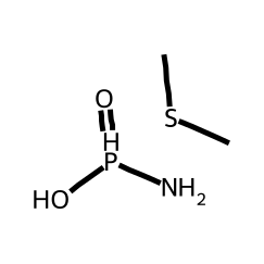 CSC.N[PH](=O)O